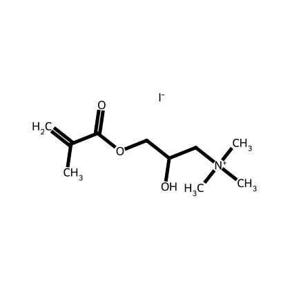 C=C(C)C(=O)OCC(O)C[N+](C)(C)C.[I-]